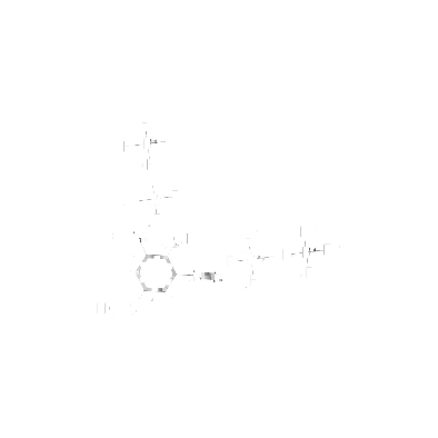 F[B-](F)(F)F.F[B-](F)(F)F.F[B-](F)(F)F.F[B-](F)(F)F.N#[N+]c1cc(S(=O)(=O)O)cc([N+](=O)[O-])c1O